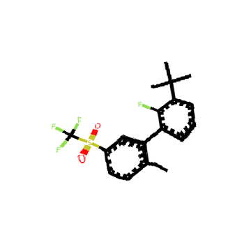 Cc1ccc(S(=O)(=O)C(F)(F)F)cc1-c1cccc(C(C)(C)C)c1F